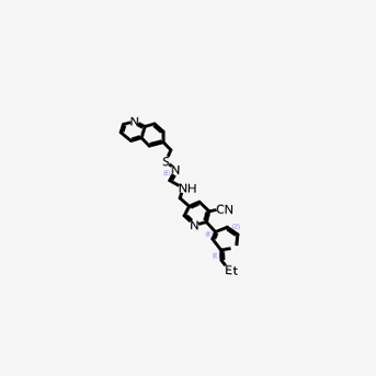 C\C=C/C(=C\C(C)=C\CC)c1ncc(CN/C=N/SCc2ccc3ncccc3c2)cc1C#N